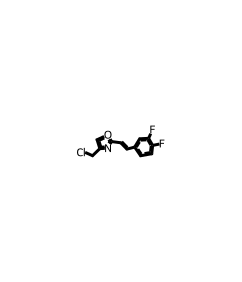 Fc1ccc(C=Cc2nc(CCl)co2)cc1F